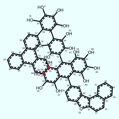 Oc1c(O)c(O)c(-c2c(O)c(O)c(-c3c4c(O)c(O)c(O)c(O)c4c(-c4ccc5oc6ccc7ccccc7c6c5c4)c4c(O)c(O)c(O)c(O)c34)c(O)c2O)c(-c2ccc3c4ccccc4c4ccccc4c3c2)c1O